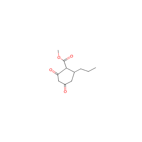 CCCC1CC(=O)CC(=O)C1C(=O)OC